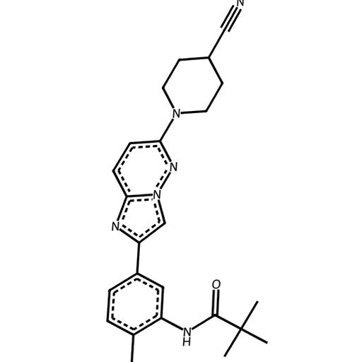 Cc1ccc(-c2cn3nc(N4CCC(C#N)CC4)ccc3n2)cc1NC(=O)C(C)(C)C